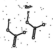 O=[Si]([O-])OF.O=[Si]([O-])OF.[Zn+2]